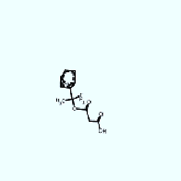 CC(C)(OC(=O)CC(=O)O)c1cc2ccc1o2